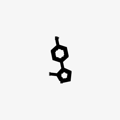 Brc1ccc(-c2ccsc2I)cc1